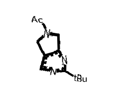 CC(=O)N1Cc2cnc(C(C)(C)C)nc2C1